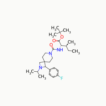 CC[C@H](C)[C@H](NC(=O)N1CCC2(CC1)CN(C(C)C)C2c1ccc(F)cc1)C(=O)OC(C)(C)C